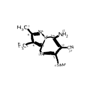 CSc1nc2c(C(F)(F)F)c(C)nn2c(N)c1C#N